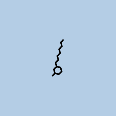 CCCCCCCCC1CCCC(C)C1